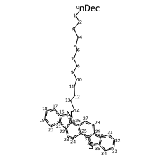 CCCCCCCCCCCCCCCCCCCCCCCCn1c2ccccc2c2ccc3c(ccc4c5ccccc5sc43)c21